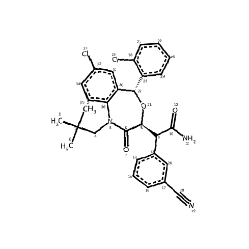 CC(C)(C)CN1C(=O)[C@H](C(C(N)=O)c2cccc(C#N)c2)O[C@@H](c2ccccc2Cl)c2cc(Cl)ccc21